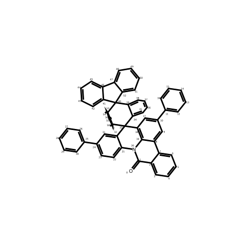 O=c1c2ccccc2c2cc(-c3ccccc3)cc3c2n1-c1ccc(-c2ccccc2)cc1C31c2ccccc2C2(c3ccccc3-c3ccccc32)c2ccccc21